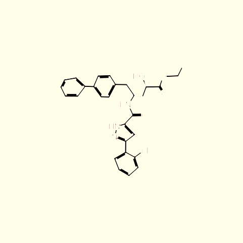 CCOC(=O)[C@H](O)C[C@@H](Cc1ccc(-c2ccccc2)cc1)NC(=O)c1cc(-c2ccccc2Cl)n[nH]1